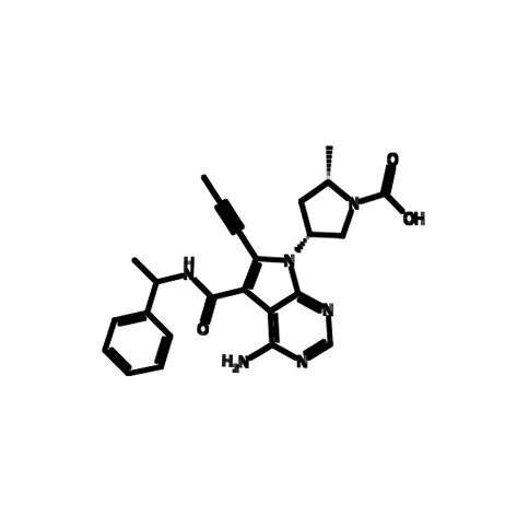 CC#Cc1c(C(=O)NC(C)c2ccccc2)c2c(N)ncnc2n1[C@@H]1C[C@H](C)N(C(=O)O)C1